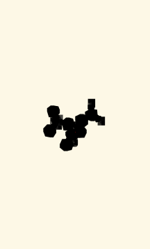 N#Cc1cc(C#N)cc(-c2ccc3c(c2)c2ccccc2n3-c2ccc(-c3nc(-c4ccccc4)nc(-c4ccccc4)n3)cc2-c2ccc3oc4ccccc4c3c2)c1